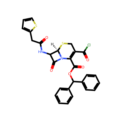 O=C(Cc1cccs1)NC1C(=O)N2C(C(=O)OC(c3ccccc3)c3ccccc3)=C(C(=O)Cl)CS[C@H]12